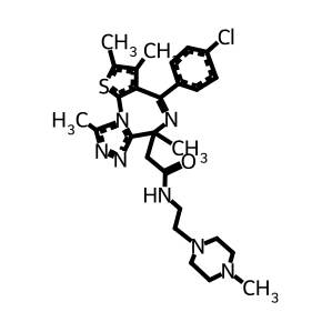 Cc1sc2c(c1C)C(c1ccc(Cl)cc1)=NC(C)(CC(=O)NCCN1CCN(C)CC1)c1nnc(C)n1-2